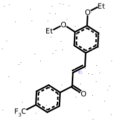 CCOc1ccc(/C=C/C(=O)c2ccc(C(F)(F)F)cc2)cc1OCC